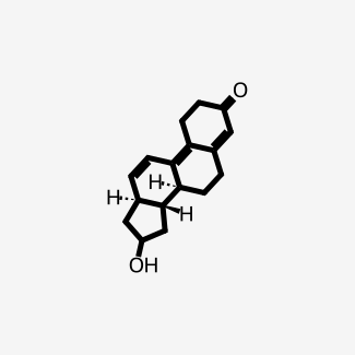 O=C1C=C2CC[C@@H]3C(=C2CC1)C=C[C@@H]1CC(O)C[C@H]13